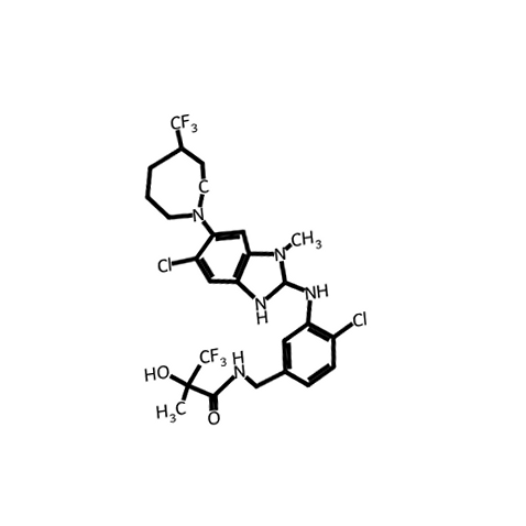 CN1c2cc(N3CCCC(C(F)(F)F)CC3)c(Cl)cc2NC1Nc1cc(CNC(=O)C(C)(O)C(F)(F)F)ccc1Cl